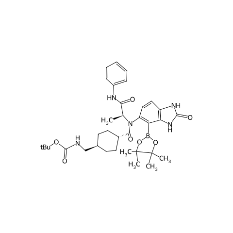 C[C@@H](C(=O)Nc1ccccc1)N(c1ccc2[nH]c(=O)[nH]c2c1B1OC(C)(C)C(C)(C)O1)C(=O)[C@H]1CC[C@H](CNC(=O)OC(C)(C)C)CC1